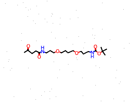 CC(=O)CCC(=O)NCCCOCCCCOCCCNC(=O)OC(C)(C)C